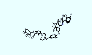 NC1=C(/C=C(\N)c2cccc(F)c2O)N2CC(Oc3ncc(CN4CCN(c5ccc6c(c5)C(=O)N(C5CCC(=O)NC5=O)C6)CC4)cc3F)CC2(C(F)F)CN1